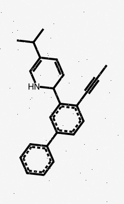 CC#Cc1ccc(-c2ccccc2)cc1C1C=CC(C(C)C)=CN1